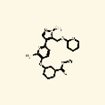 Cc1nc(-c2cnn(C)c2COC2CCCCO2)ccc1OC1CCCC(C(=O)OC(C)C)C1